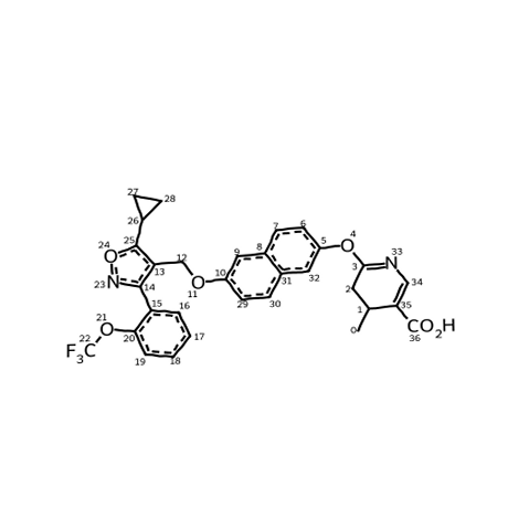 CC1CC(Oc2ccc3cc(OCc4c(-c5ccccc5OC(F)(F)F)noc4C4CC4)ccc3c2)=NC=C1C(=O)O